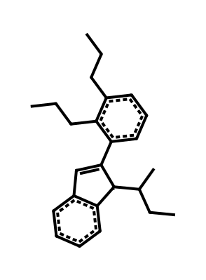 CCCc1cccc(C2=Cc3ccccc3[C]2C(C)CC)c1CCC